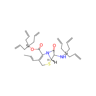 C=CC[Si](CC=C)(CC=C)NC1C(=O)N2C(C(=O)O[Si](CC=C)(CC=C)CC=C)=C(C=CC)CS[C@@H]12